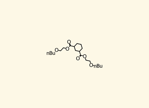 CCCCOCCOC(=O)C1CCCC(C(=O)OCCOCCCC)C1